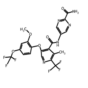 COc1cc(OC(F)(F)F)ccc1Oc1cnc(C(F)(F)F)c(C)c1C(=O)Nc1cnc(C(N)=O)nc1